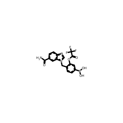 NC(=O)c1ccc2ncn(Cc3ccc(B(O)O)cc3OC(=O)C(F)(F)F)c2c1